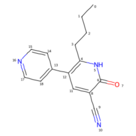 CCCCc1[nH]c(=O)c(C#N)cc1-c1ccncc1